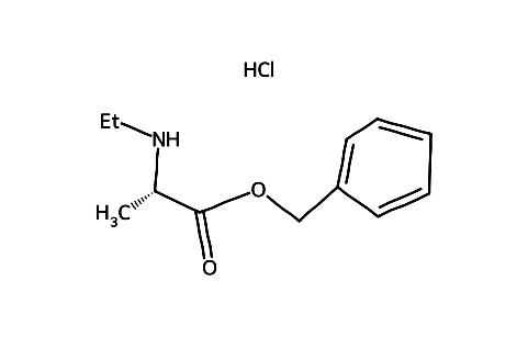 CCN[C@@H](C)C(=O)OCc1ccccc1.Cl